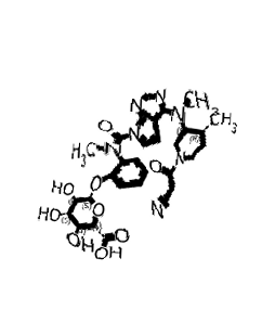 C[C@@H]1CCN(C(=O)CC#N)C[C@H]1N(C)c1ncnc2c1ccn2C(=O)N(C)c1ccccc1O[C@@H]1O[C@H](C(=O)O)[C@@H](O)[C@H](O)[C@H]1O